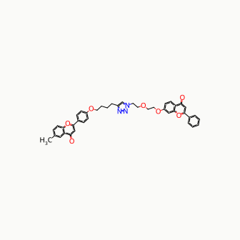 Cc1ccc2oc(-c3ccc(OCCCCc4cn(CCOCCOc5ccc6c(=O)cc(-c7ccccc7)oc6c5)nn4)cc3)cc(=O)c2c1